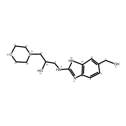 OCc1ccc2nc(NCC(O)CN3CCOCC3)[nH]c2c1